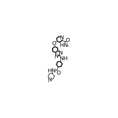 CNC(=O)c1cc(Oc2ccc3c(c2)nc(Nc2ccc(C(=O)NC4CCN(C)CC4)cc2)n3C)ccn1